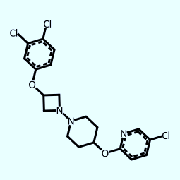 Clc1ccc(OC2CCN(N3CC(Oc4ccc(Cl)c(Cl)c4)C3)CC2)nc1